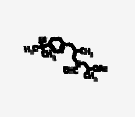 CCC(C)(C)c1ccc(CC(C)CN(C=O)CC(C)OC(C)=O)cc1